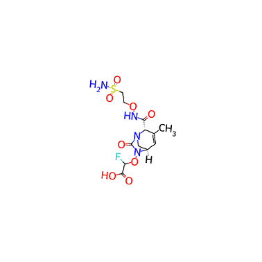 CC1=C[C@@H]2CN(C(=O)N2OC(F)C(=O)O)[C@@H]1C(=O)NOCCS(N)(=O)=O